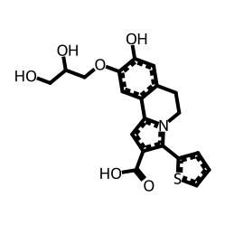 O=C(O)c1cc2n(c1-c1cccs1)CCc1cc(O)c(OCC(O)CO)cc1-2